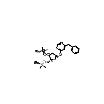 CC(C)(C)[Si](C)(C)OC[C@@H]1C[C@@H](Oc2cc(Cc3ccccc3)ncn2)C[C@@H]1O[Si](C)(C)C(C)(C)C